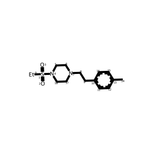 CCS(=O)(=O)N1CCN(CCc2ccc(C)cc2)CC1